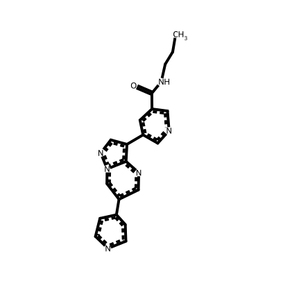 CCCNC(=O)c1cncc(-c2cnn3cc(-c4ccncc4)cnc23)c1